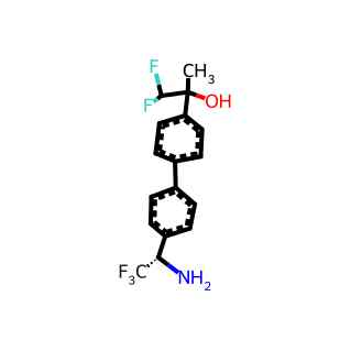 CC(O)(c1ccc(-c2ccc([C@H](N)C(F)(F)F)cc2)cc1)C(F)F